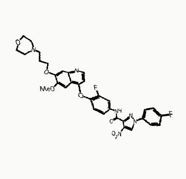 COc1cc2c(Oc3ccc(NC(=O)c4nn(-c5ccc(F)cc5)cc4[N+](=O)[O-])cc3F)ccnc2cc1OCCCN1CCOCC1